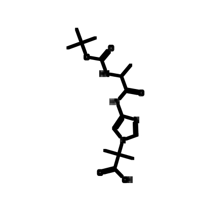 CC(NC(=O)OC(C)(C)C)C(=O)Nc1cn(C(C)(C)C(=O)O)cn1